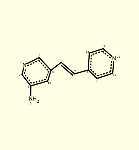 Nc1cncc(C=Cc2ccncc2)c1